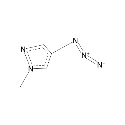 Cn1cc(N=[N+]=[N-])cn1